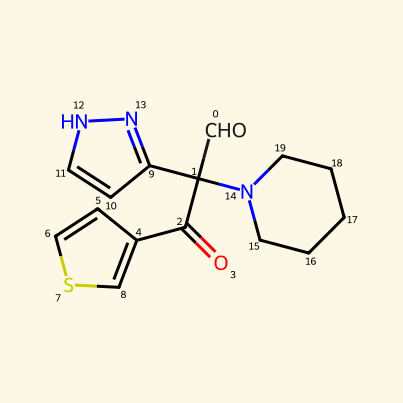 O=CC(C(=O)c1ccsc1)(c1cc[nH]n1)N1CCCCC1